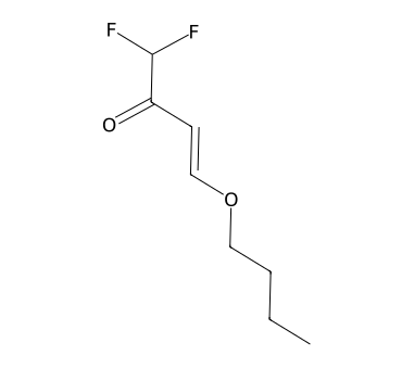 CCCCOC=CC(=O)C(F)F